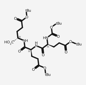 CC(C)(C)OC(=O)CC[C@H](NC(=O)[C@H](CCC(=O)OC(C)(C)C)NC(=O)[C@H](CCC(=O)OC(C)(C)C)NC(=O)OC(C)(C)C)C(=O)O